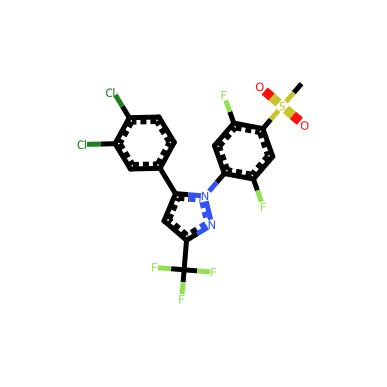 CS(=O)(=O)c1cc(F)c(-n2nc(C(F)(F)F)cc2-c2ccc(Cl)c(Cl)c2)cc1F